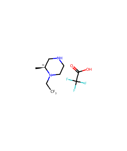 C[C@H]1CNCCN1CC(F)(F)F.O=C(O)C(F)(F)F